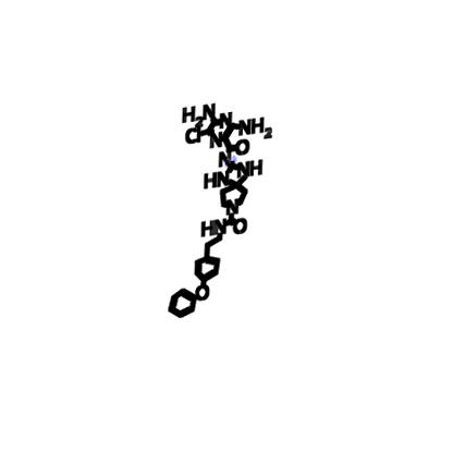 Nc1nc(N)c(C(=O)/N=C2\NCC3(CCN(C(=O)NCCc4ccc(Oc5ccccc5)cc4)CC3)N2)nc1Cl